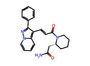 NC(=O)C[C@H]1CCCCN1C(=O)/C=C/c1c(-c2ccccc2)nn2ccccc12